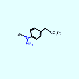 CCCN(N)c1ccc(CC(=O)OCC)cc1